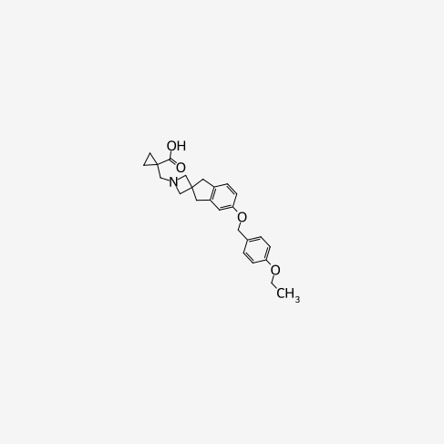 CCOc1ccc(COc2ccc3c(c2)CC2(C3)CN(CC3(C(=O)O)CC3)C2)cc1